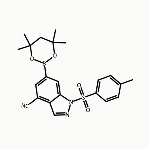 Cc1ccc(S(=O)(=O)n2ncc3c(C#N)cc(B4OC(C)(C)CC(C)(C)O4)cc32)cc1